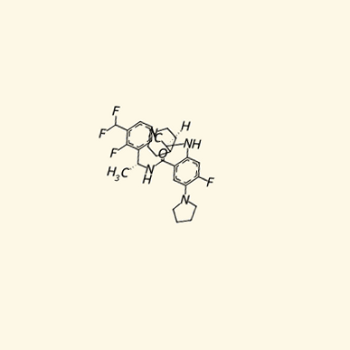 C[C@@H](NC(=O)c1cc(N2CCCC2)c(F)cc1N[C@@H]1CN2CCC1CC2)c1cccc(C(F)F)c1F